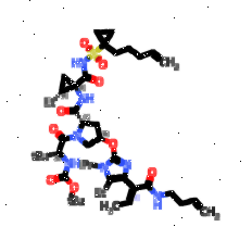 C=CCCCC1(S(=O)(=O)NC(=O)[C@@]2(NC(=O)[C@@H]3C[C@@H](Oc4nc(/C(=C\C)C(=O)NCCC=C)c(CC)n4C(C)C)CN3C(=O)[C@@H](NC(=O)OC(C)(C)C)C(C)(C)C)C[C@H]2CC)CC1